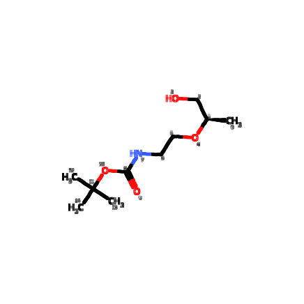 C[C@H](CO)OCCNC(=O)OC(C)(C)C